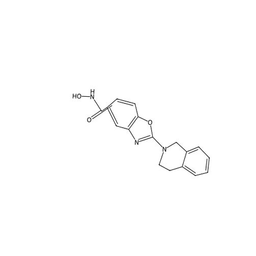 O=C(NO)c1ccc2oc(N3CCc4ccccc4C3)nc2c1